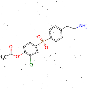 CC(=O)Oc1ccc(S(=O)(=O)c2ccc(CCN)cc2)cc1Cl